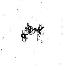 CO[C@H]1[C@@H](C(=O)NCc2cccc(Cl)c2F)N(C(=O)Cn2nc(C(N)=O)c3cc(C)ncc32)C[C@@H]1F